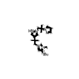 Cn1c[n+](CC(C)(C)c2c[nH][n+](CC(C)(C)n3cccn3)c2)cc1C(C)(C)C